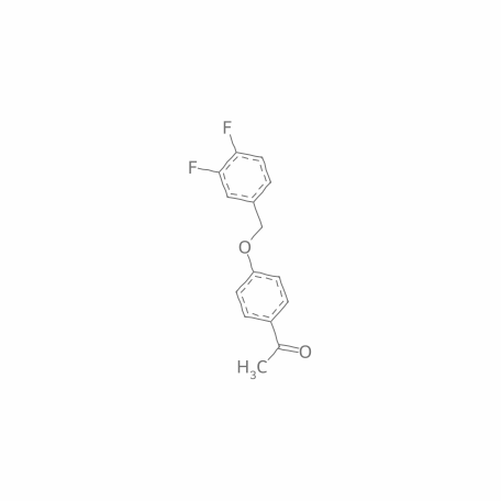 CC(=O)c1ccc(OCc2ccc(F)c(F)c2)cc1